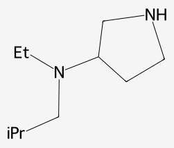 CCN(CC(C)C)C1CCNC1